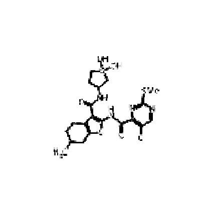 CSc1ncc(Cl)c(C(=O)Nc2sc3c(c2C(=O)NC2CCS(O)(O)C2)CCC(C)C3)n1